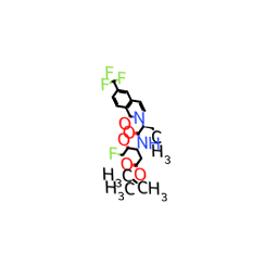 CC[C@@H](C(=O)NC(CC(=O)OC(C)(C)C)C(=O)CF)n1ccc2cc(C(F)(F)F)ccc2c1=O